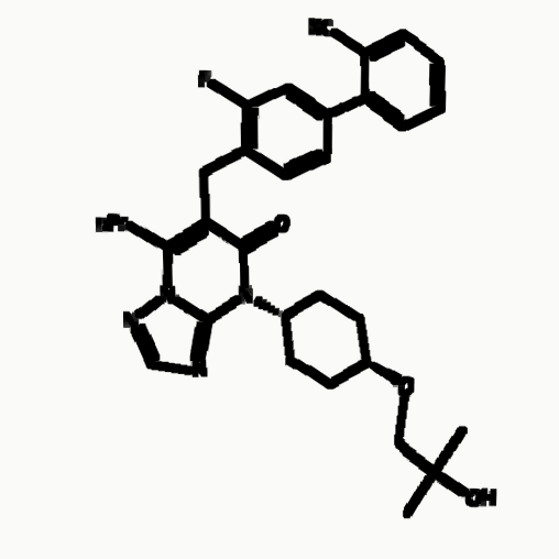 CCCc1c(Cc2ccc(-c3ccccc3C#N)cc2F)c(=O)n([C@H]2CC[C@H](OCC(C)(C)O)CC2)c2ncnn12